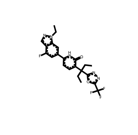 CCn1ncc2c(F)cc(-c3ccc(C(CC)(CC)c4nnc(C(F)(F)F)o4)c(=O)[nH]3)cc21